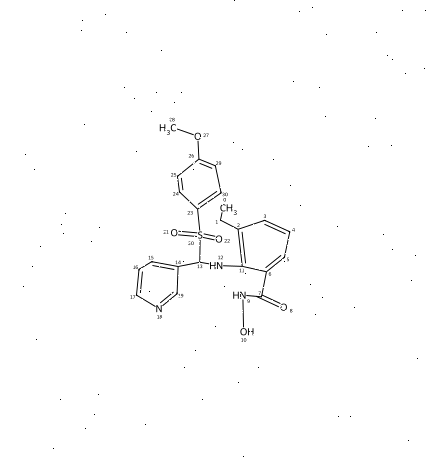 CCc1cccc(C(=O)NO)c1NC(c1cccnc1)S(=O)(=O)c1ccc(OC)cc1